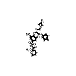 C[C@]1(C(=O)NS(=O)(=O)c2cc(Cl)c(O[C@H](CCN3CC(F)C3)COc3ccc(F)cc3)c(C#N)c2)CCCCO1